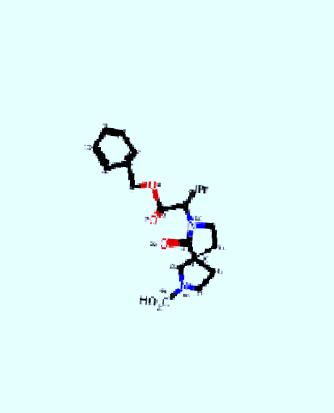 CC(C)C(C(=O)OCc1ccccc1)N1CC[C@]2(CCN(C(=O)O)C2)C1=O